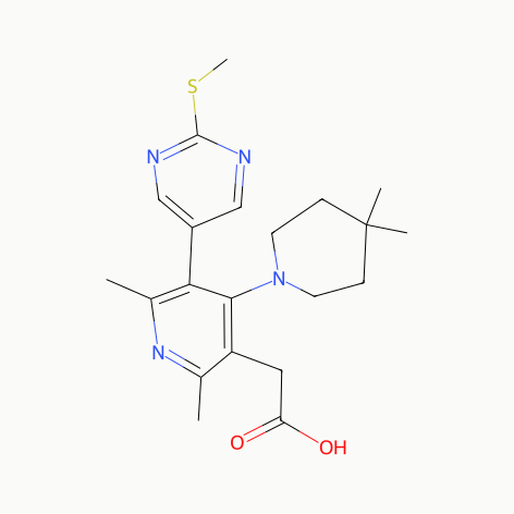 CSc1ncc(-c2c(C)nc(C)c(CC(=O)O)c2N2CCC(C)(C)CC2)cn1